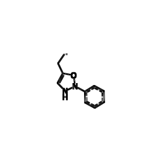 [CH2]CC1=CNN(c2ccccc2)O1